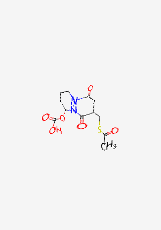 CC(=O)SCC1CC(=O)N2CCCC(OC(=O)O)N2C1=O